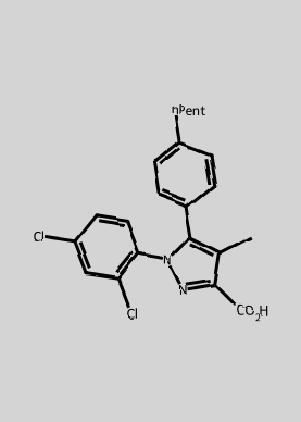 CCCCCc1ccc(-c2c(C)c(C(=O)O)nn2-c2ccc(Cl)cc2Cl)cc1